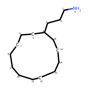 NCCCC1C[CH]CCCCCCCCCC1